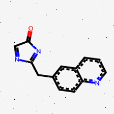 O=C1C=NC(Cc2ccc3ncccc3c2)=N1